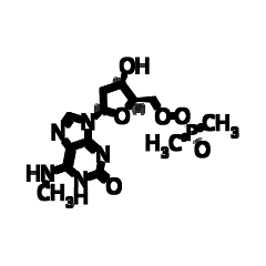 CNc1[nH]c(=O)nc2c1ncn2[C@H]1C[C@@H](O)[C@@H](COOP(C)(C)=O)O1